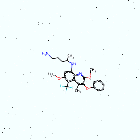 COc1cc(NC(C)CCCN)c2nc(OC)c(Oc3ccccc3)c(C)c2c1C(F)(F)F